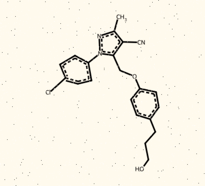 Cc1nn(-c2ccc(Cl)cc2)c(COc2ccc(CCCO)cc2)c1C#N